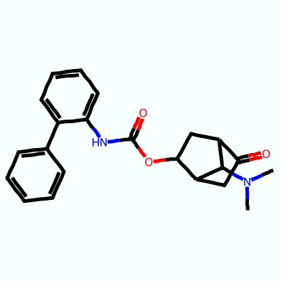 CN(C)C1C2CC(OC(=O)Nc3ccccc3-c3ccccc3)C1CC2=O